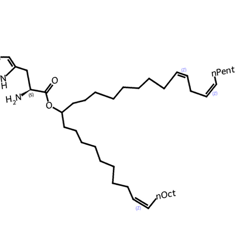 CCCCC/C=C\C/C=C\CCCCCCCCC(CCCCCCCC/C=C\CCCCCCCC)OC(=O)[C@@H](N)Cc1cnc[nH]1